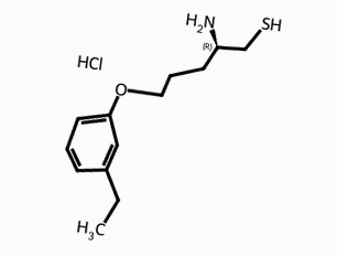 CCc1cccc(OCCC[C@@H](N)CS)c1.Cl